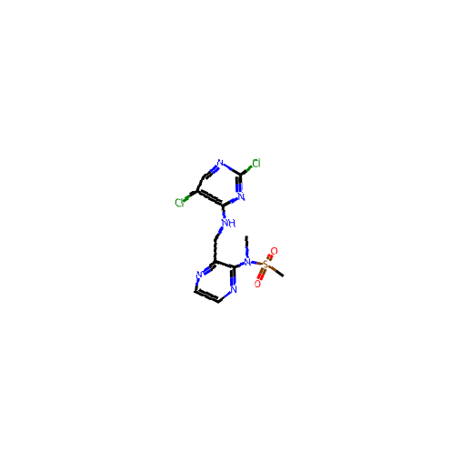 CN(c1nccnc1CNc1nc(Cl)ncc1Cl)S(C)(=O)=O